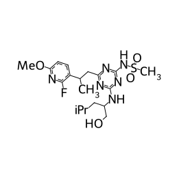 COc1ccc(C(C)Cc2nc(NC(CO)CC(C)C)nc(NS(C)(=O)=O)n2)c(F)n1